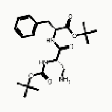 CC(C)(C)OC(=O)N[C@@H](CN)C(=O)N[C@@H](Cc1ccccc1)C(=O)OC(C)(C)C